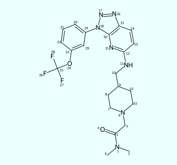 CN(C)C(=O)CN1CCC(CNc2ccc3nnn(-c4cccc(OC(F)(F)F)c4)c3n2)CC1